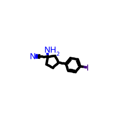 N#CC1(N)CCC(c2ccc(I)cc2)C1